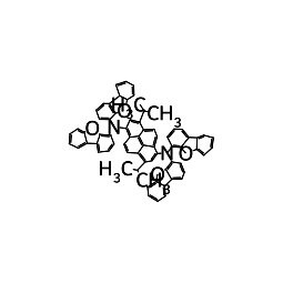 CC(C)c1cc(N(c2cccc3c2OC2C=CC=CC32)c2cccc3c2oc2ccccc23)c2ccc3c(C(C)C)cc(N(c4cccc5c4oc4ccccc45)c4cccc5c4oc4ccccc45)c4ccc1c2c34